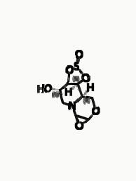 O=S1OC2[C@@H](O1)[C@H]1COC3OC3N1C[C@@H]2O